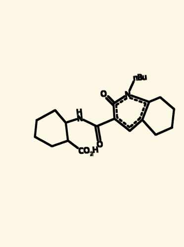 CCCCn1c2c(cc(C(=O)NC3CCCCC3C(=O)O)c1=O)CCCC2